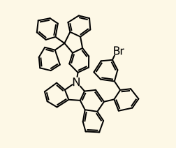 Brc1cccc(-c2ccccc2-c2cc3c(c4ccccc24)c2ccccc2n3-c2ccc3c(c2)C(c2ccccc2)(c2ccccc2)c2ccccc2-3)c1